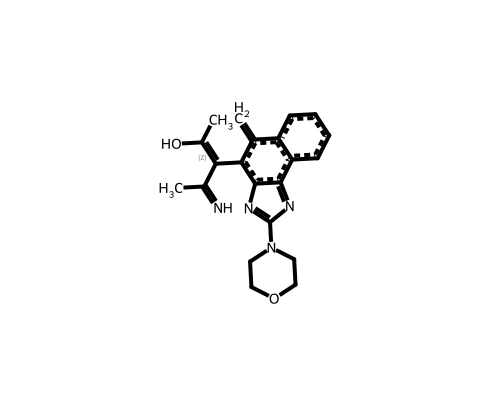 C=c1c(/C(C(C)=N)=C(\C)O)c2c(c3ccccc13)=NC(N1CCOCC1)=N2